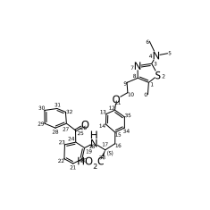 Cc1sc(N(C)C)nc1CCOc1ccc(C[C@H](Nc2ccccc2C(=O)c2ccccc2)C(=O)O)cc1